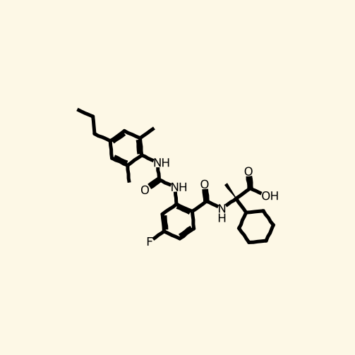 CCCc1cc(C)c(NC(=O)Nc2cc(F)ccc2C(=O)N[C@](C)(C(=O)O)C2CCCCC2)c(C)c1